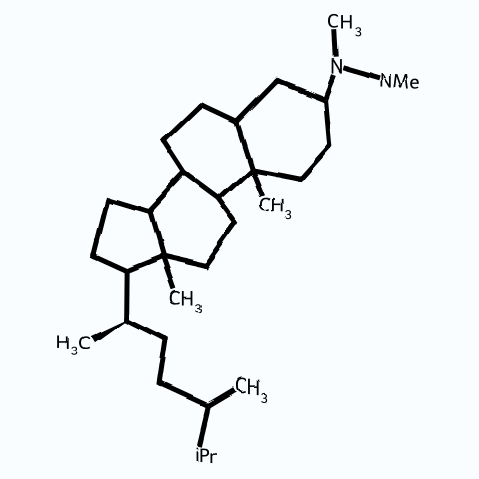 CNN(C)C1CCC2(C)C(CCC3C2CCC2(C)C3CCC2[C@H](C)CCC(C)C(C)C)C1